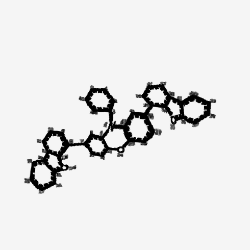 c1ccc(N2c3cc(-c4cccc5c4oc4ccccc45)ccc3Oc3ccc(-c4cccc5c4oc4ccccc45)cc32)cc1